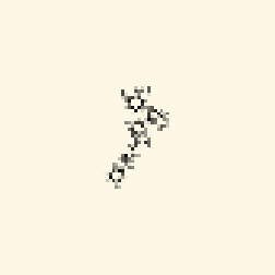 Oc1cc(-c2nc3occn3c2-c2ccnc(NCCNSc3ccccc3)n2)ccc1F